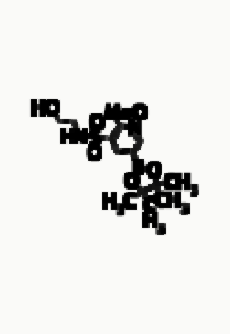 COc1ncc(B2OC(C)(C)C(C)(C)O2)cc1S(=O)(=O)NCCO